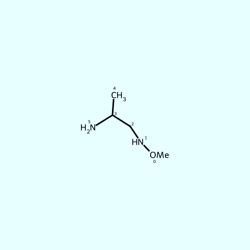 CONCC(C)N